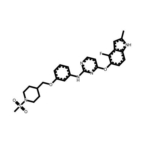 Cc1cc2c(F)c(Oc3ccnc(Nc4cccc(OCC5CCN(S(C)(=O)=O)CC5)c4)n3)ccc2[nH]1